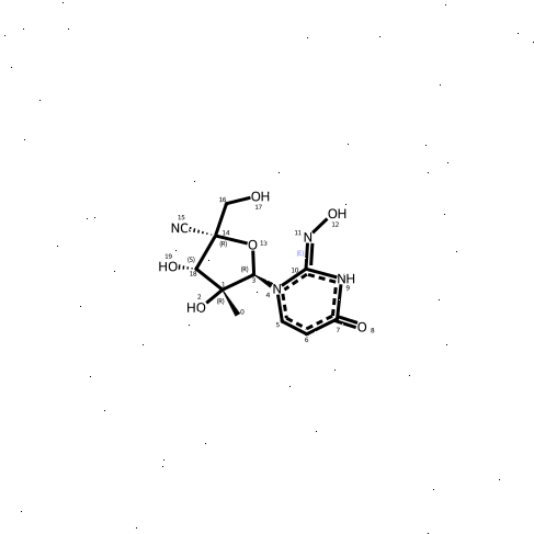 C[C@]1(O)[C@H](n2ccc(=O)[nH]/c2=N\O)O[C@](C#N)(CO)[C@H]1O